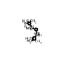 Cc1cc(-c2nc(-c3cccc(-c4n[nH]c(-c5cc(C)c(C)c(C)c5)n4)c3)n[nH]2)cc(C)c1C